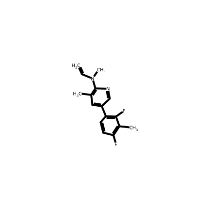 C=CN(C)c1ncc(-c2ccc(F)c(C)c2F)cc1C